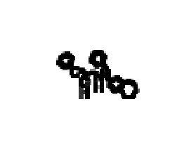 O[C@@H](CNN(Cc1ccccc1)c1ccc2c(c1)CCCCC2)COc1ccccc1